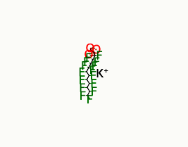 O=S(=O)([O-])C(F)C(F)(F)C(F)(F)C(F)(F)C(F)C(F)C(F)C(F)C(F)C(F)C(F)F.[K+]